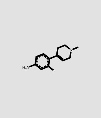 CN1CC=C(c2ccc(N)cc2F)CC1